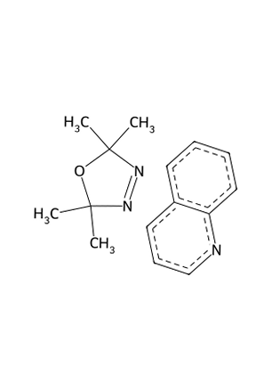 CC1(C)N=NC(C)(C)O1.c1ccc2ncccc2c1